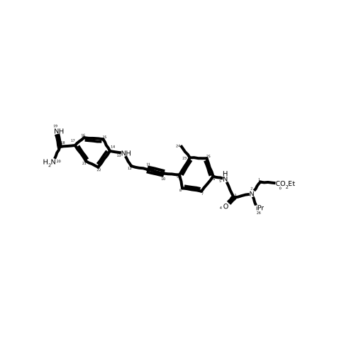 CCOC(=O)CN(C(=O)Nc1ccc(C#CCNc2ccc(C(=N)N)cc2)c(C)c1)C(C)C